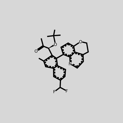 CC(=O)[C@@H](OC(C)(C)C)c1c(C)cc2cc(C(F)F)ccc2c1-c1ccc2c3c(ccnc13)CCO2